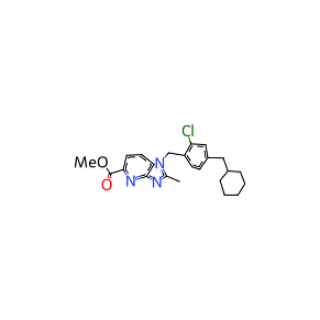 COC(=O)c1ccc2c(n1)nc(C)n2Cc1ccc(CC2CCCCC2)cc1Cl